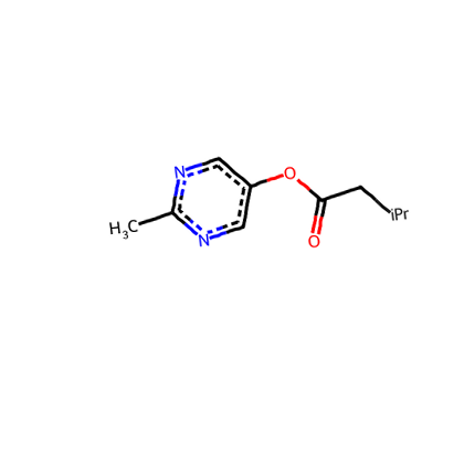 Cc1ncc(OC(=O)CC(C)C)cn1